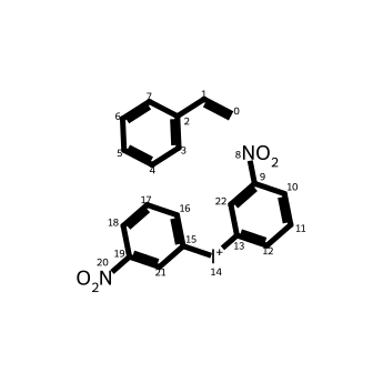 C=Cc1ccccc1.O=[N+]([O-])c1cccc([I+]c2cccc([N+](=O)[O-])c2)c1